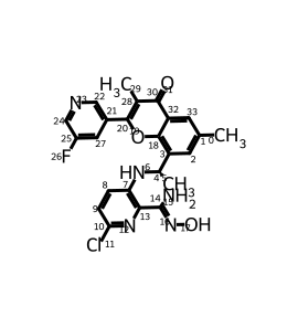 Cc1cc([C@@H](C)Nc2ccc(Cl)nc2/C(N)=N/O)c2oc(-c3cncc(F)c3)c(C)c(=O)c2c1